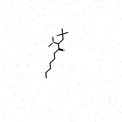 CCCCCCC(=O)C(CC(C)(C)C)P(C)C